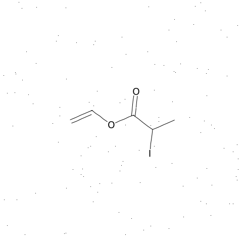 C=COC(=O)C(C)I